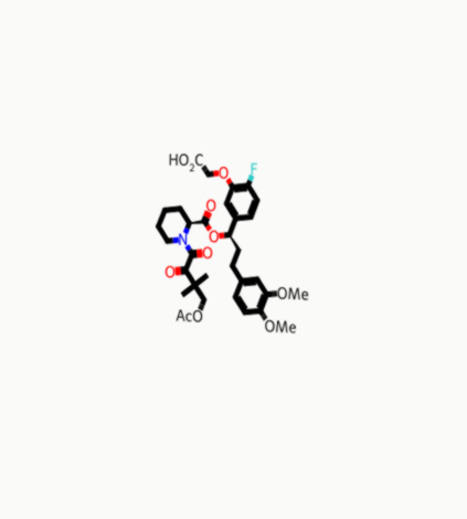 COc1ccc(CC[C@@H](OC(=O)[C@@H]2CCCCN2C(=O)C(=O)C(C)(C)COC(C)=O)c2ccc(F)c(OCC(=O)O)c2)cc1OC